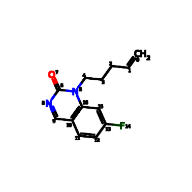 C=CCCCn1c(=O)ncc2ccc(F)cc21